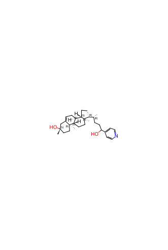 C[C@H](CCC(O)c1ccncc1)[C@H]1CC[C@H]2[C@@H]3CC=C4C[C@@](C)(O)CC[C@]4(C)[C@H]3CC[C@]12C